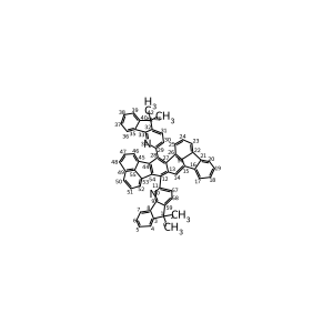 CC1(C)c2ccccc2-c2nc(-c3c4cc5c6ccccc6c6cccc(c4c(-c4ccc7c(n4)-c4ccccc4C7(C)C)c4c7cccc8cccc(c34)c87)c65)ccc21